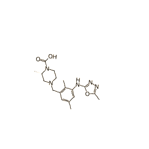 Cc1cc(CN2CCN(C(=O)O)[C@@H](C)C2)c(C)c(Nc2nnc(C)o2)c1